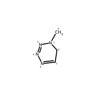 CN1CC=NN=N1